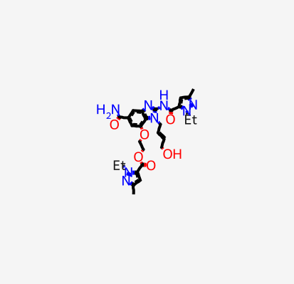 CCn1nc(C)cc1C(=O)Nc1nc2cc(C(N)=O)cc(OCCOC(=O)c3cc(C)nn3CC)c2n1CC=CCO